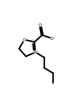 CCCC[N+]1=C(C(=O)[O-])OCC1